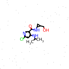 CC(C)Nc1cc(Cl)ncc1C(=O)NC1CC1CO